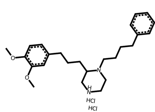 COc1ccc(CCCC2CNCCN2CCCCc2ccccc2)cc1OC.Cl.Cl